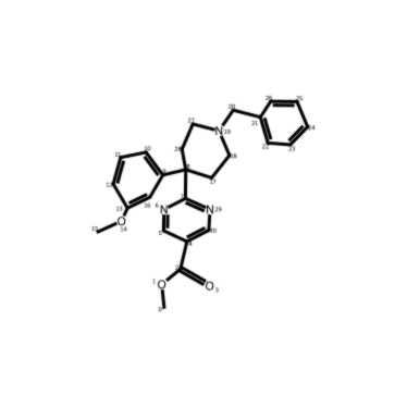 COC(=O)c1cnc(C2(c3cccc(OC)c3)CCN(Cc3ccccc3)CC2)nc1